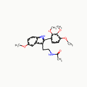 COc1ccc2[nH]c(-c3ccc(OC)c(OC)c3OC)c(CCNC(C)=O)c2c1